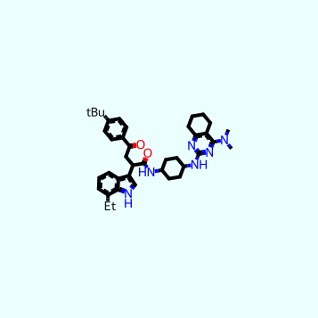 CCc1cccc2c(C(CC(=O)c3ccc(C(C)(C)C)cc3)C(=O)NC3CCC(Nc4nc5c(c(N(C)C)n4)CCCC5)CC3)c[nH]c12